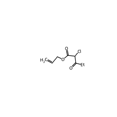 C=CCOC(=O)C(Cl)C(=O)CC